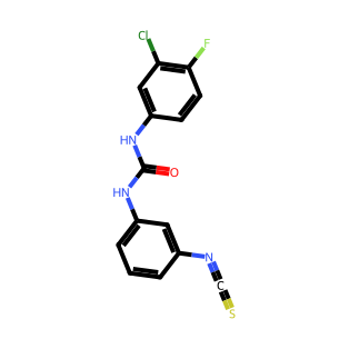 O=C(Nc1cccc(N=C=S)c1)Nc1ccc(F)c(Cl)c1